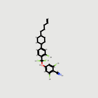 C=CCCCC1CCC(c2ccc(C(F)(F)Oc3cc(F)c(C#N)c(F)c3)c(F)c2)CC1